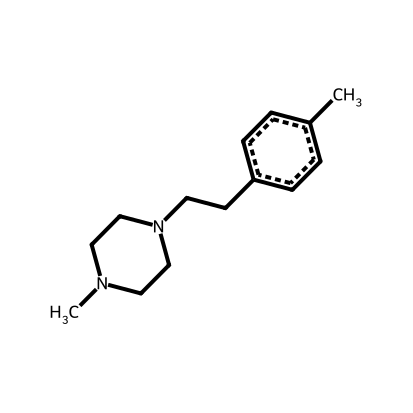 Cc1ccc(CCN2CCN(C)CC2)cc1